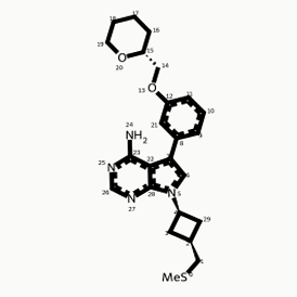 CSC[C@H]1C[C@@H](n2cc(-c3cccc(OC[C@H]4CCCCO4)c3)c3c(N)ncnc32)C1